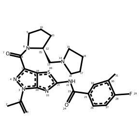 C=C(C)n1nc(C(=O)N2CCC[C@H]2CN2CCCC2)c2sc(NC(=O)c3ccc(F)c(C)c3)nc21